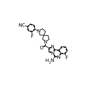 N#Cc1ccc(N2CCC3(CCN(C(=O)c4cn5c(N)nc6c(F)cccc6c5n4)C3)C2)c(F)c1